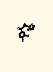 O=C(c1ccc(Cl)c(Cl)c1)C1CC1c1nnn[nH]1